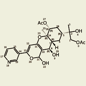 CC(=O)OCC(C)(O)[C@@H]1C[C@@H]2[C@@H](O)C3=C(C=C(c4cccnc4)OC3O)O[C@@]2(C)[C@H](OC(C)=O)C1